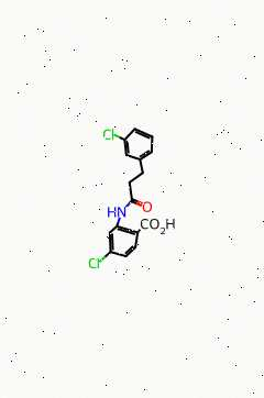 O=C(CCc1cccc(Cl)c1)Nc1cc(Cl)ccc1C(=O)O